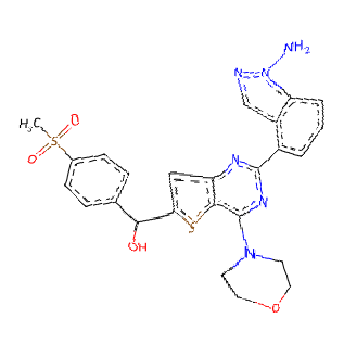 CS(=O)(=O)c1ccc(C(O)c2cc3nc(-c4cccc5c4cnn5N)nc(N4CCOCC4)c3s2)cc1